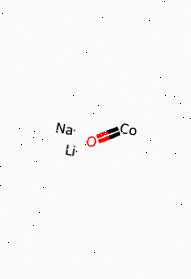 [Li].[Na].[O]=[Co]